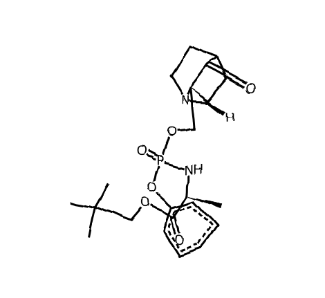 C[C@H](NP(=O)(OC[C@H]1C(=O)C2CCN1CC2)Oc1ccccc1)C(=O)OCC(C)(C)C